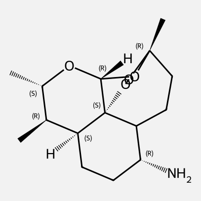 C[C@H]1[C@H](C)O[C@@H]2O[C@@]3(C)CCC4[C@H](N)CC[C@@H]1[C@]42OO3